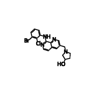 OC1CCN(Cc2cnc3c(Nc4cccc(Br)c4Cl)nccc3c2)C1